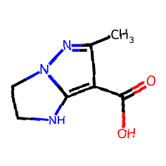 Cc1nn2c(c1C(=O)O)NCC2